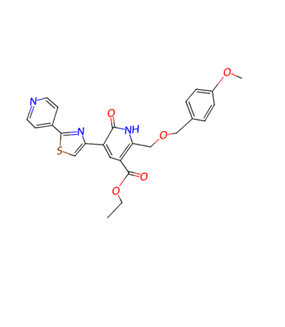 CCOC(=O)c1cc(-c2csc(-c3ccncc3)n2)c(=O)[nH]c1COCc1ccc(OC)cc1